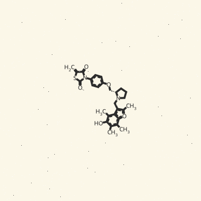 C=C1SC(=O)N(c2ccc(OC[C@@H]3CCCN3Cc3c(C)oc4c(C)c(C)c(O)c(C)c34)cc2)C1=O